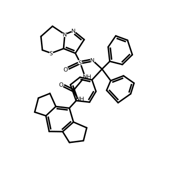 O=C(Nc1c2c(cc3c1CCC3)CCC2)NS(=O)(=NC(c1ccccc1)(c1ccccc1)c1ccccc1)c1cnn2c1SCCC2